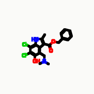 Cc1[nH]c2c(Cl)c(Cl)c(O)c(CN(C)C)c2c1C(=O)OCc1ccccc1